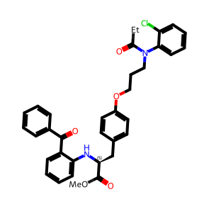 CCC(=O)N(CCCOc1ccc(C[C@H](Nc2ccccc2C(=O)c2ccccc2)C(=O)OC)cc1)c1ccccc1Cl